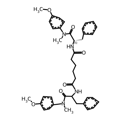 COc1ccc(N(C)C(=O)C(Cc2ccccc2)NC(=O)CCCCC(=O)N[C@@H](Cc2ccccc2)C(=O)N(C)c2ccc(OC)cc2)cc1